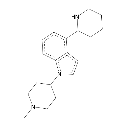 CN1CCC(n2ccc3c(C4CCCCN4)cccc32)CC1